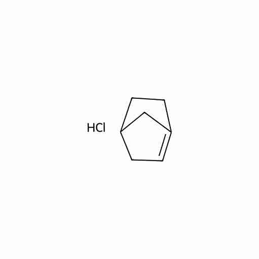 C1=C2CCC(C1)C2.Cl